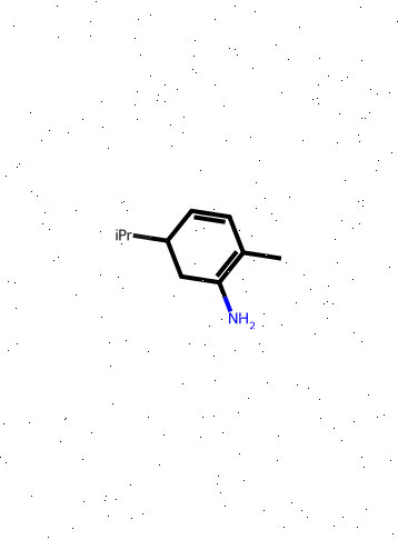 CC1=C(N)CC(C(C)C)C=C1